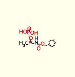 C[C@H](CNC(=O)OCc1ccccc1)OCP(=O)(O)O